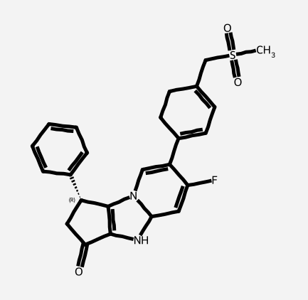 CS(=O)(=O)CC1=CC=C(C2=CN3C4=C(NC3C=C2F)C(=O)C[C@@H]4c2ccccc2)CC1